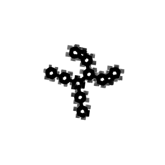 c1ccc(-c2ccc(-c3nc(-c4ccc(-c5cccnc5)cc4)nc(-c4cc(-c5ccc6sc7ccccc7c6c5)cc(-c5ccc6sc7ccccc7c6c5)c4)n3)cc2)cc1